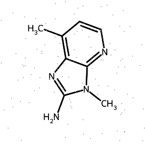 Cc1ccnc2c1nc(N)n2C